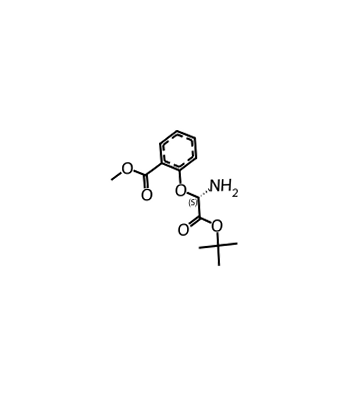 COC(=O)c1ccccc1O[C@H](N)C(=O)OC(C)(C)C